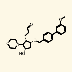 COc1cccc(-c2ccc(CO[C@@H]3C[C@H](O)[C@@H](N4CCOCC4)[C@@H]3CCC=O)cc2)c1